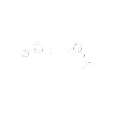 O=C1NC(=O)C(=Cc2ccnc(N3CCC(CNCc4ccnc(-c5ccsc5)c4)CC3)n2)S1